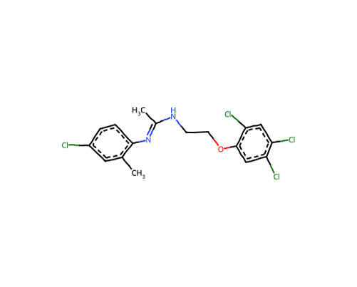 C/C(=N\c1ccc(Cl)cc1C)NCCOc1cc(Cl)c(Cl)cc1Cl